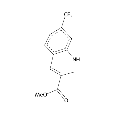 COC(=O)C1=Cc2ccc(C(F)(F)F)cc2NC1